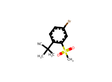 CC(C)(C#N)c1ccc(Br)cc1S(C)(=O)=O